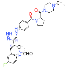 CC(=C\c1cc(F)ccc1NC=O)/C(=C/Nc1ccc(C(=O)N2CCCC2C(=O)N2CCN(C)CC2)cc1)N=N